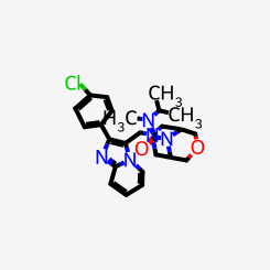 CC(C)N(C)C(=O)N1C2COCC1CN(Cc1c(-c3ccc(Cl)cc3)nc3ccccn13)C2